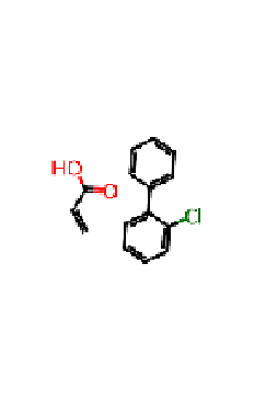 C=CC(=O)O.Clc1ccccc1-c1ccccc1